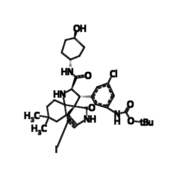 CC1(C)CCC2(CC1)N[C@@H](C(=O)N[C@H]1CC[C@H](O)CC1)[C@H](c1cc(Cl)cc(NC(=O)OC(C)(C)C)c1)[C@]21C(=O)Nc2cc(I)ccc21